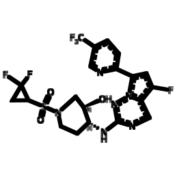 O=S(=O)(C1CC1(F)F)N1CC[C@@H](Nc2ncc3c(F)cc(-c4ccc(C(F)(F)F)cn4)n3n2)[C@H](O)C1